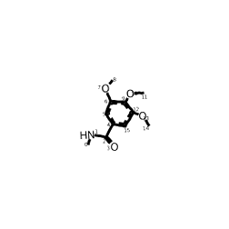 CNC(=O)c1cc(OC)c(OC)c(OC)c1